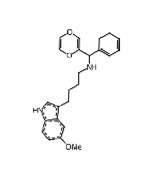 COc1ccc2[nH]cc(CCCCNC(C3=CC=CCC3)C3=COC=CO3)c2c1